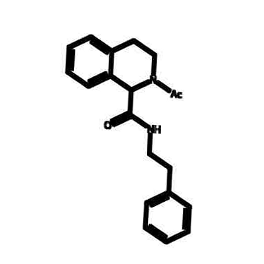 CC(=O)N1CCc2ccccc2C1C(=O)NCCc1ccccc1